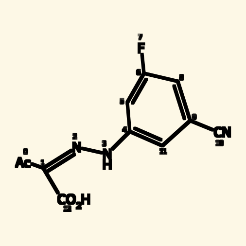 CC(=O)C(=NNc1cc(F)cc(C#N)c1)C(=O)O